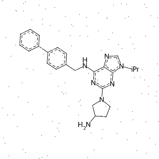 CC(C)n1cnc2c(NCc3ccc(-c4ccccc4)cc3)nc(N3CCC(N)C3)nc21